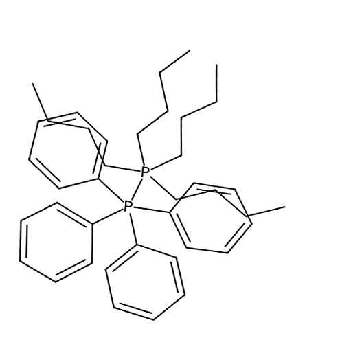 CCCCP(CCCC)(CCCC)(CCCC)P(c1ccccc1)(c1ccccc1)(c1ccccc1)c1ccccc1